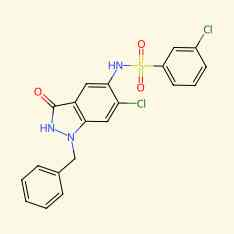 O=c1[nH]n(Cc2ccccc2)c2cc(Cl)c(NS(=O)(=O)c3cccc(Cl)c3)cc12